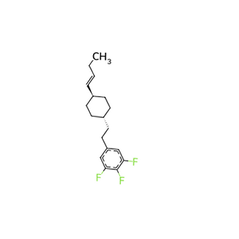 CC/C=C/[C@H]1CC[C@H](CCc2cc(F)c(F)c(F)c2)CC1